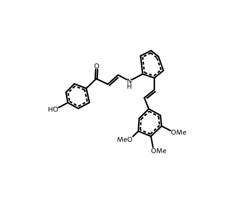 COc1cc(C=Cc2ccccc2NC=CC(=O)c2ccc(O)cc2)cc(OC)c1OC